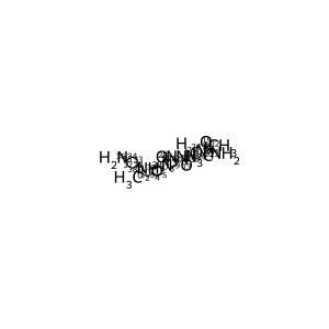 CC(Cc1ccc(-n2ccc(NC(=O)N3CCN(C(=O)C(C)(C)N)CC3)nc2=O)cc1)NC1CCC(N)CC1